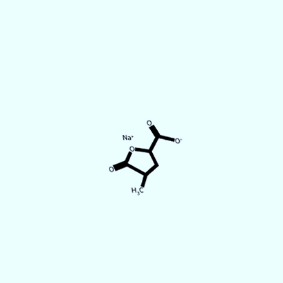 CC1CC(C(=O)[O-])OC1=O.[Na+]